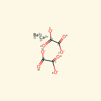 O=C([O-])C(=O)[O-].O=C([O-])C(=O)[O-].[Ba+2].[Ca+2]